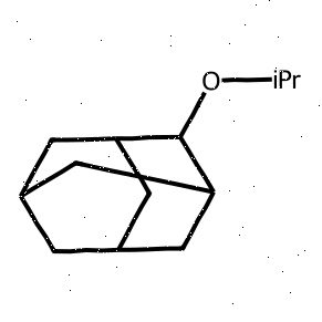 CC(C)OC1C2CC3CC(C2)CC1C3